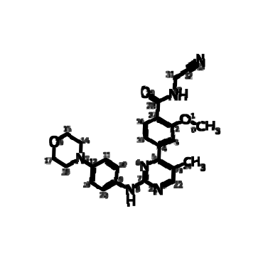 COc1cc(-c2nc(Nc3ccc(N4CCOCC4)cc3)ncc2C)ccc1C(=O)NCC#N